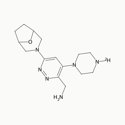 [2H]N1CCN(c2cc(N3CC4CCC(C3)O4)nnc2CN)CC1